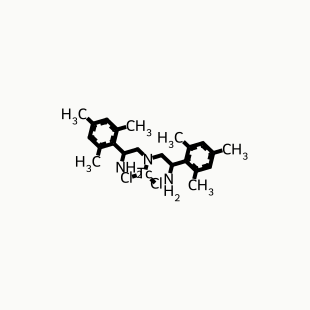 Cc1cc(C)c(C(N)C[N](CC(N)c2c(C)cc(C)cc2C)[Tc]([Cl])[Cl])c(C)c1